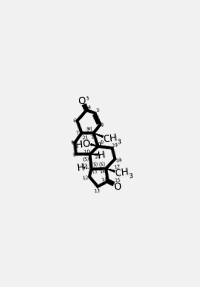 C[C@]12C=CC(=O)CC1CC[C@H]1[C@@H]3CCC(=O)[C@@]3(C)CC[C@]12O